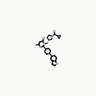 Cc1cc(=O)n(C[C@@H]2CCN(C(=O)C3CC3)C2)c(-c2ccc(-c3ccc4occc4c3)cc2)n1